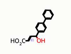 O=C(O)/C=C/C(O)c1ccc(-c2ccccc2)cc1